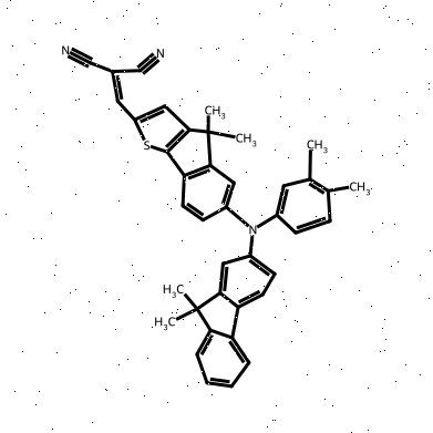 Cc1ccc(N(c2ccc3c(c2)C(C)(C)c2ccccc2-3)c2ccc3c(c2)C(C)(C)c2cc(C=C(C#N)C#N)sc2-3)cc1C